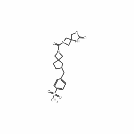 CS(=O)(=O)c1ccc(CC2CCC3(C2)CN(C(=O)N2CC4(COC(=O)N4)C2)C3)cc1